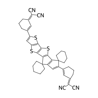 N#CC(C#N)=C1C=C(C2=CC3=C(c4sc5c(sc6cc(C7=CC(=C(C#N)C#N)CCC7)sc65)c4C34CCCCC4)C23CCCCC3)CCC1